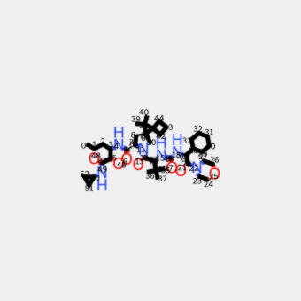 CCCC(NC(=O)[C@@H]1C[C@@]2(CN1C(=O)[C@@H](NC(=O)N[C@H](C(=O)N1CCOCC1)C1CCCCC1)C(C)(C)C)C(C)(C)C21CCC1)C(=O)C(=O)NC1CC1